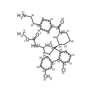 COC(=O)NCCCC(O)(c1cccc(Cl)c1-c1cccc(C)c1)[C@@H]1CCCN(C(=O)c2ccc(CCN)cc2)C1